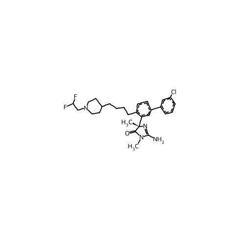 CN1C(=O)[C@](C)(c2cc(-c3cccc(Cl)c3)ccc2CCCCC2CCN(CC(F)F)CC2)N=C1N